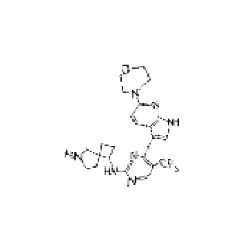 FC(F)(F)c1cnc(NC2CCC23CCNC3)nc1-c1c[nH]c2nc(N3CCOCC3)ccc12